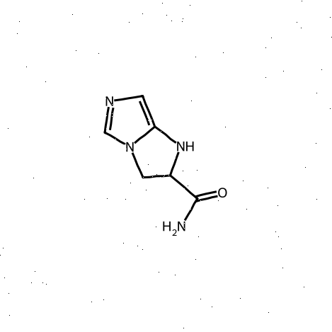 NC(=O)C1Cn2cncc2N1